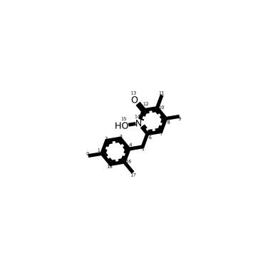 Cc1ccc(Cc2cc(C)c(C)c(=O)n2O)c(C)c1